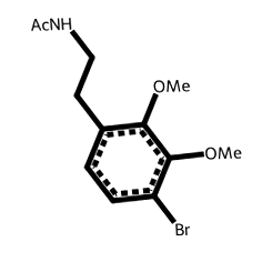 COc1c(Br)ccc(CCNC(C)=O)c1OC